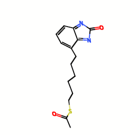 CC(=O)SCCCCCCc1cccc2c1=NC(=O)N=2